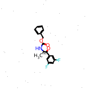 C[C@@H](NC(=O)OCc1ccccc1)C(=O)c1cc(F)cc(F)c1